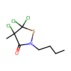 CCCCN1SC(Cl)(Cl)C(C)(Cl)C1=O